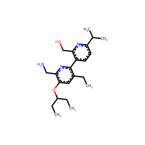 CCc1cc(OC(CC)CC)c(CN)nc1-c1ccc(C(C)C)nc1CO